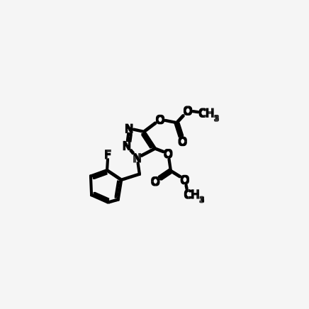 COC(=O)Oc1nnn(Cc2ccccc2F)c1OC(=O)OC